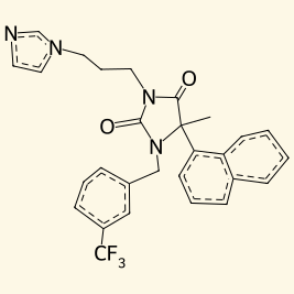 CC1(c2cccc3ccccc23)C(=O)N(CCCn2ccnc2)C(=O)N1Cc1cccc(C(F)(F)F)c1